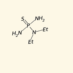 CCN(CC)P(N)(N)=S